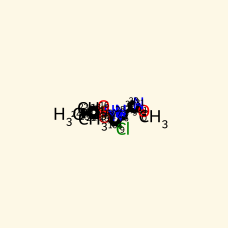 COc1cc(-c2cc3c(Cl)ccc(NS(=O)(=O)c4ccc(C(C)(C)C)cc4)n3n2)ccn1